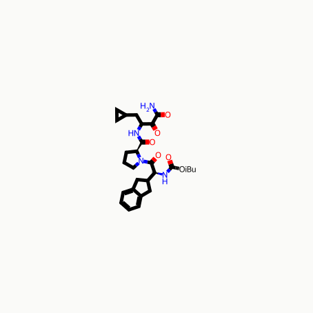 CC(C)COC(=O)N[C@H](C(=O)N1CCC[C@H]1C(=O)NC(CC1CC1)C(=O)C(N)=O)C1Cc2ccccc2C1